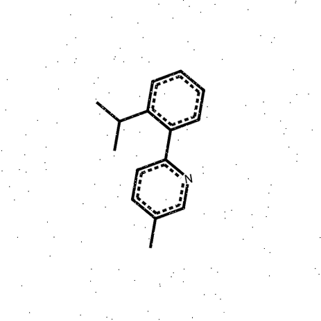 Cc1ccc(-c2ccccc2C(C)C)nc1